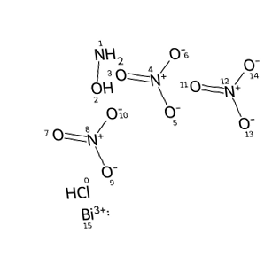 Cl.NO.O=[N+]([O-])[O-].O=[N+]([O-])[O-].O=[N+]([O-])[O-].[Bi+3]